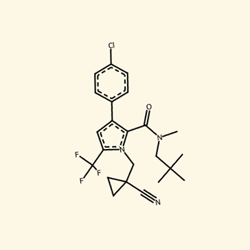 CN(CC(C)(C)C)C(=O)c1c(-c2ccc(Cl)cc2)cc(C(F)(F)F)n1CC1(C#N)CC1